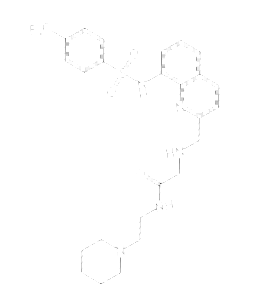 O=C(CNCc1ccc2cccc(NS(=O)(=O)c3ccc(C(F)(F)F)cc3)c2n1)NCCN1CCCCC1